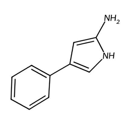 Nc1cc(-c2ccccc2)c[nH]1